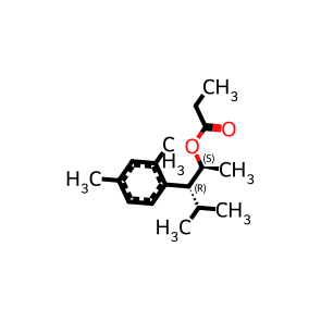 CCC(=O)O[C@@H](C)[C@@H](c1ccc(C)cc1C)C(C)C